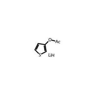 CC(=O)Oc1ccsc1.[LiH]